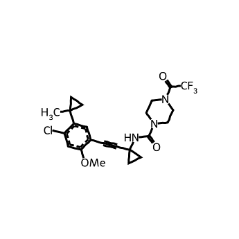 COc1cc(Cl)c(C2(C)CC2)cc1C#CC1(NC(=O)N2CCN(C(=O)C(F)(F)F)CC2)CC1